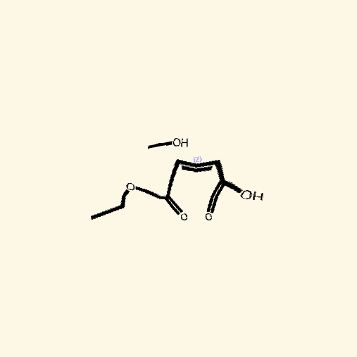 CCOC(=O)/C=C\C(=O)O.CO